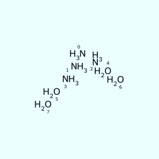 N.N.N.N.O.O.O.O